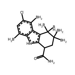 Bc1cc(Cl)c(B)c2c3c([nH]c12)C(C(N)=O)CC(B)(B)C3(B)B